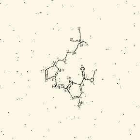 COC(=O)c1cc(O)cc(Nc2ccn(COCC[Si](C)(C)C)n2)n1